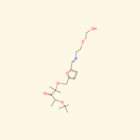 CC(OC(C)(C)C)C(=O)C(C)(C)OCc1ccc(/C=N/CCOCCO)o1